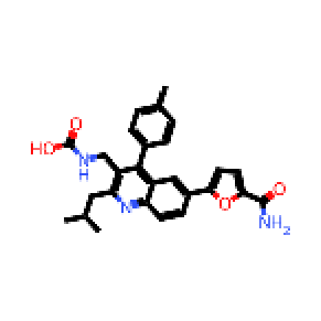 Cc1ccc(-c2c(CNC(=O)O)c(CC(C)C)nc3ccc(-c4ccc(C(N)=O)o4)cc23)cc1